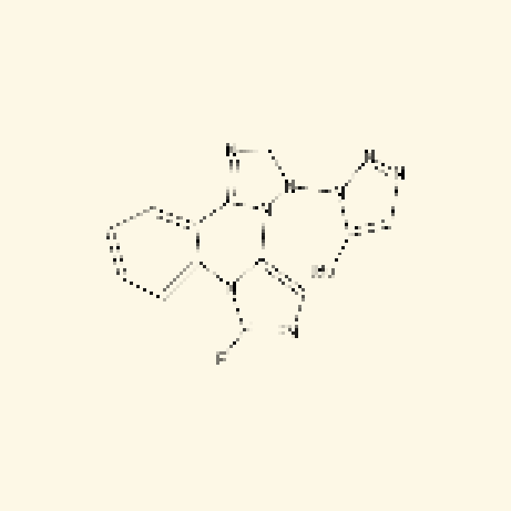 CC(C)(C)c1cnnn1N1CN=C2c3ccccc3-n3c(cnc3F)N21